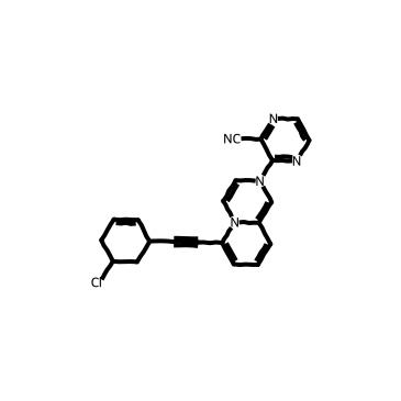 N#Cc1nccnc1N1C=CN2C(C#CC3C=CCC(Cl)C3)=CC=CC2=C1